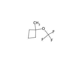 CC1(OC(F)(F)F)CCC1